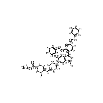 CC1CN(C(=O)OC(C)(C)C)CCC1CN1CC=C(c2cc3c(cc2F)c(-c2ccc(OCc4ccccc4)nc2OCc2ccccc2)nn3C)CC1